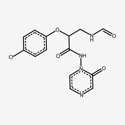 O=CNCC(Oc1ccc(Cl)cc1)C(=O)Nn1ccncc1=O